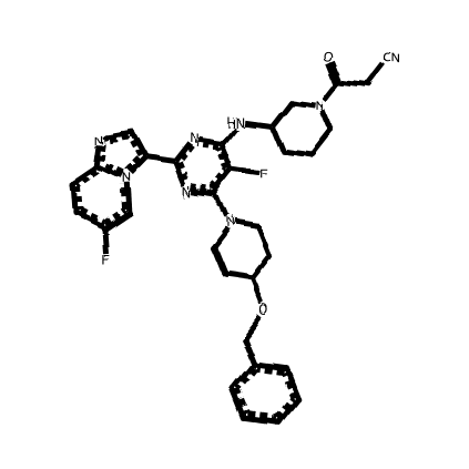 N#CCC(=O)N1CCCC(Nc2nc(-c3cnc4ccc(F)cn34)nc(N3CCC(OCc4ccccc4)CC3)c2F)C1